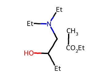 CCC(O)CN(CC)CC.CCOC(C)=O